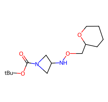 CC(C)(C)OC(=O)N1CC(NOCC2CCCCO2)C1